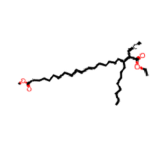 C=C=CC(C(=O)OCC)C(CCCCCCCC)CCCCCCCCCCCCCCCCCC(=O)OC